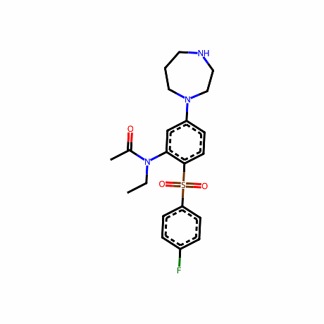 CCN(C(C)=O)c1cc(N2CCCNCC2)ccc1S(=O)(=O)c1ccc(F)cc1